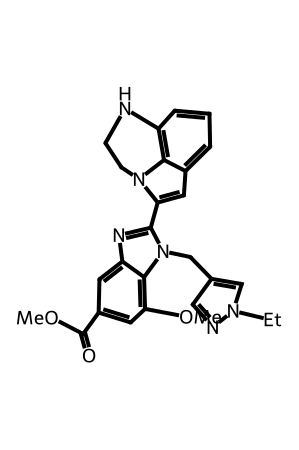 CCn1cc(Cn2c(-c3cc4cccc5c4n3CCN5)nc3cc(C(=O)OC)cc(OC)c32)cn1